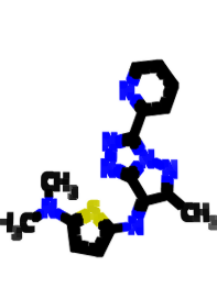 CC1=Nn2c(nnc2-c2ccccn2)C1=Nc1ccc(N(C)C)s1